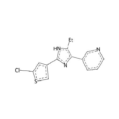 CCc1[nH]c(-c2csc(Cl)c2)nc1-c1cccnc1